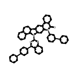 O=c1c2ccccc2c2cc3c4ccc5ccccc5c4n(-c4nc(-c5ccc(-c6ccccc6)cc5)c5ccccc5n4)c3cc2n1-c1cccc(-c2ccccc2)c1